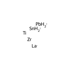 [La].[PbH2].[SnH2].[Ti].[Zr]